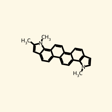 Cc1cc2ccc3c4ccc5c(ccc6ccn(C)c65)c4ccc3c2n1C